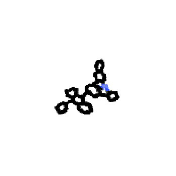 c1ccc(-c2c3ccccc3c(-c3cc4c5ccccc5n5c6cc7ccccc7cc6c(c3)c45)c3ccccc23)cc1